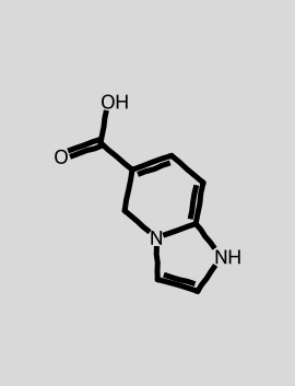 O=C(O)C1=CC=C2NC=CN2C1